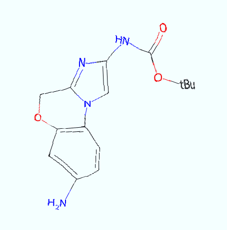 CC(C)(C)OC(=O)Nc1cn2c(n1)COc1cc(N)ccc1-2